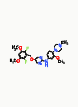 COc1cc(Nc2ncc(OCc3c(F)c(OC)cc(OC)c3F)cn2)ccc1N1CCN(C)CC1